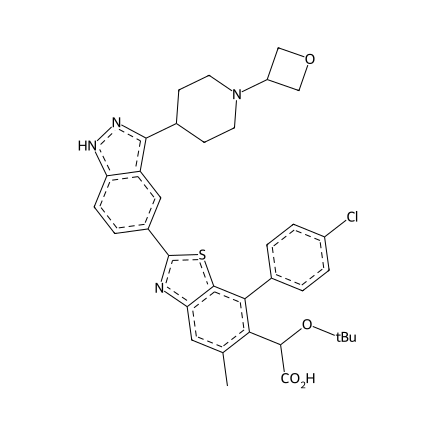 Cc1cc2nc(-c3ccc4[nH]nc(C5CCN(C6COC6)CC5)c4c3)sc2c(-c2ccc(Cl)cc2)c1C(OC(C)(C)C)C(=O)O